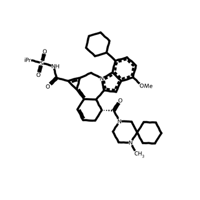 COc1ccc(C2CCCCC2)c2c1cc1n2CC2=C(C(=O)NS(=O)(=O)C(C)C)C2=C2C=CC[C@@H](C(=O)N3CCN(C)C4(CCCCC4)C3)C21